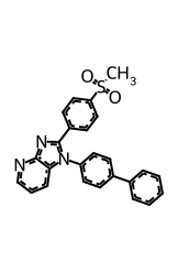 CS(=O)(=O)c1ccc(-c2nc3ncccc3n2-c2ccc(-c3ccccc3)cc2)cc1